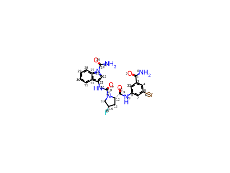 NC(=O)c1cc(Br)cc(NC(=O)[C@@H]2C[C@@H](F)CN2C(=O)Nc2cn(C(N)=O)c3ccccc23)c1